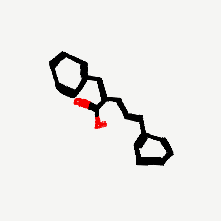 O=C(O)C(=Cc1ccccc1)CC=Cc1ccccc1